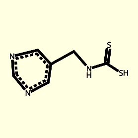 S=C(S)NCc1cncnc1